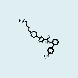 CSCCCN1CCC(c2nc(C(=O)Nc3ccccc3-c3ccc(N)cc3)cs2)CC1